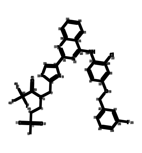 CS(=O)(=O)CCN(Cc1nc(-c2nc(Nc3ccc(OCc4cccc(F)c4)cc3Cl)c3ccccc3n2)cs1)C(=O)C(F)(F)F